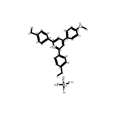 CCc1ccc(-c2cc(-c3ccc(OC)cc3)cc(-c3ccc(CC)cc3)[o+]2)cc1.F[B-](F)(F)F